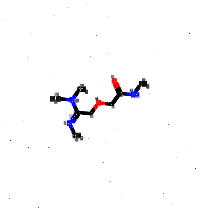 C/N=C(\COCC(=O)NC)N(C)C